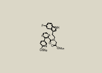 COC(=O)CN(CCc1c[nH]c2ccc(F)cc12)C(=O)c1nccnc1-c1ccc(OC)nc1